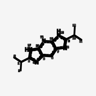 CC(C)c1nc2cc3nc(C(C)C)[nH]c3nc2[nH]1